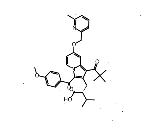 COc1ccc(C(=O)c2c(C[C@@H](C(=O)O)C(C)C)c(C(=O)C(C)(C)C)c3cc(OCc4cccc(C)n4)ccn23)cc1